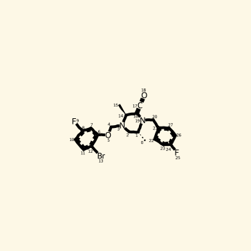 C[C@@H]1CN(COc2cc(F)ccc2Br)[C@@H](C)C(=C=O)N1Cc1ccc(F)cc1